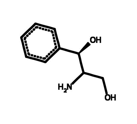 NC(CO)[C@H](O)c1ccccc1